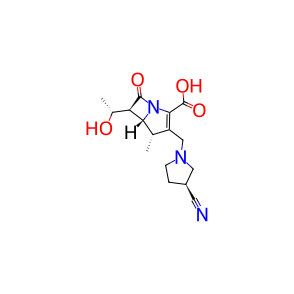 C[C@@H](O)[C@H]1C(=O)N2C(C(=O)O)=C(CN3CC[C@H](C#N)C3)[C@H](C)[C@H]12